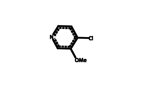 COc1cnccc1Cl